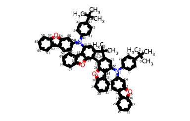 CC(C)(C)c1ccc(N(c2ccc3c(c2)oc2ccccc23)c2cc3c(c4oc5ccccc5c24)-c2c(cc(N(c4ccc(C(C)(C)C)cc4)c4ccc5c(c4)oc4ccccc45)c4c2oc2ccccc24)C3(C)C)cc1